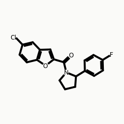 O=C(c1cc2cc(Cl)ccc2o1)N1CCCC1c1ccc(F)cc1